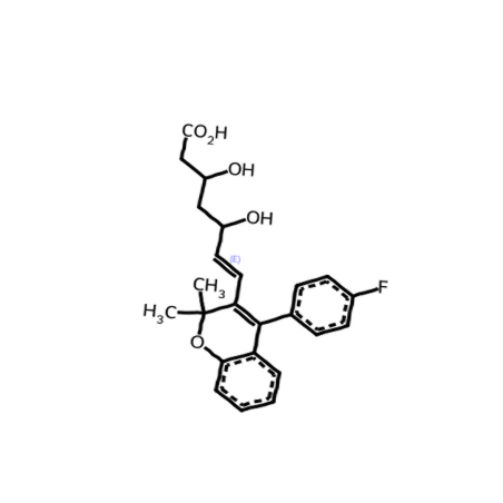 CC1(C)Oc2ccccc2C(c2ccc(F)cc2)=C1/C=C/C(O)CC(O)CC(=O)O